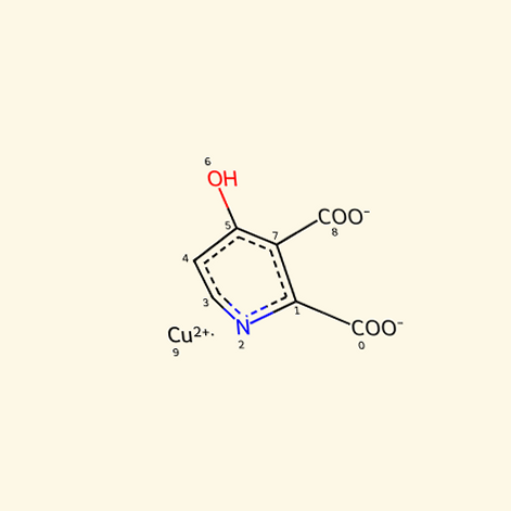 O=C([O-])c1nccc(O)c1C(=O)[O-].[Cu+2]